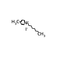 CCCCCCCC[n+]1ccc(C)cc1.[I-]